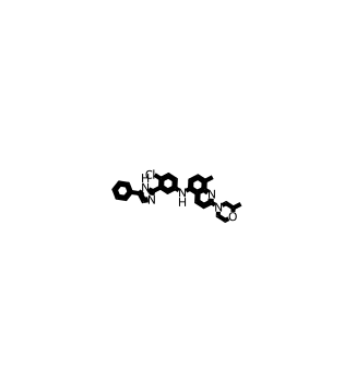 Cc1ccc(Nc2ccc(Cl)c(-c3ncc(-c4ccccc4)[nH]3)c2)c2ccc(N3CCOC(C)C3)nc12